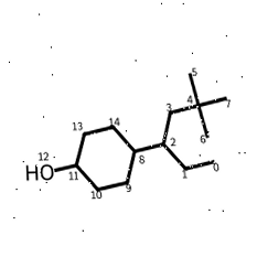 CCC(CC(C)(C)C)C1CCC(O)CC1